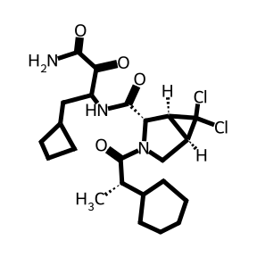 C[C@H](C(=O)N1C[C@H]2[C@@H]([C@H]1C(=O)NC(CC1CCC1)C(=O)C(N)=O)C2(Cl)Cl)C1CCCCC1